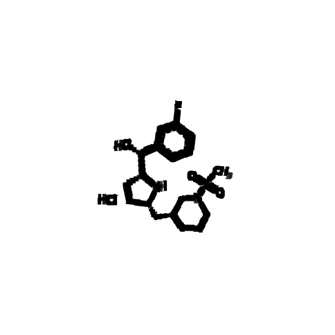 CS(=O)(=O)N1CCC[C@@H](C[C@@H]2CC[C@H]([C@H](O)c3cccc(F)c3)N2)C1.Cl